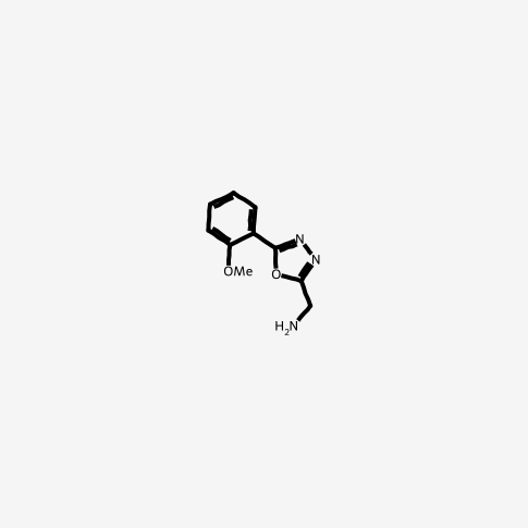 COc1ccccc1-c1nnc(CN)o1